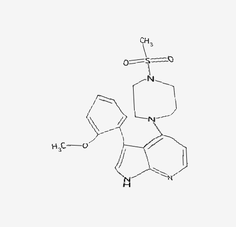 COc1ccccc1-c1c[nH]c2nccc(N3CCN(S(C)(=O)=O)CC3)c12